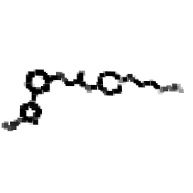 COCCON1CCN(NC(=O)COc2c[c]cc(-c3cnn(C)c3)c2)CC1